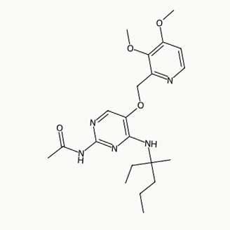 CCCC(C)(CC)Nc1nc(NC(C)=O)ncc1OCc1nccc(OC)c1OC